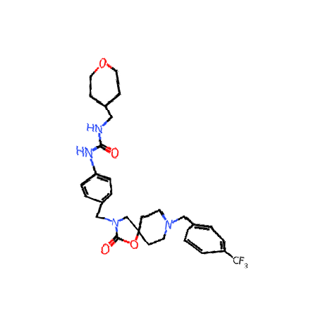 O=C(NCC1CCOCC1)Nc1ccc(CN2CC3(CCN(Cc4ccc(C(F)(F)F)cc4)CC3)OC2=O)cc1